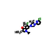 Cc1c(F)c(N2CCN(c3cccc(Cl)n3)C(C)C2)cc2c1c(=O)c(C(=O)O)cn2C1CC1